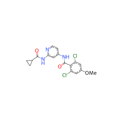 COc1cc(Cl)c(C(=O)Nc2ccnc(NC(=O)C3CC3)c2)c(Cl)c1